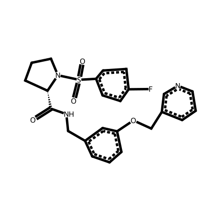 O=C(NCc1cccc(OCc2cccnc2)c1)[C@@H]1CCCN1S(=O)(=O)c1ccc(F)cc1